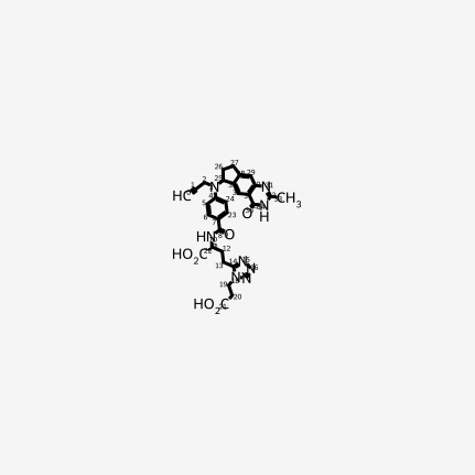 C#CCN(c1ccc(C(=O)N[C@@H](CCc2nnnn2CCC(=O)O)C(=O)O)cc1)C1CCc2cc3nc(C)[nH]c(=O)c3cc21